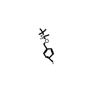 CC(C)(C)[Si](C)(C)OCc1ccc(I)cc1